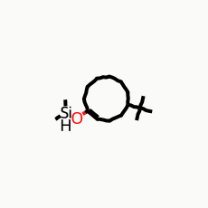 C[SiH](C)OC1=CCCC(C(C)(C)C)CCCCCC1